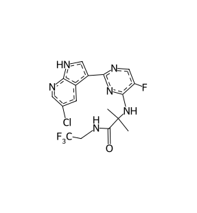 CC(C)(Nc1nc(-c2c[nH]c3ncc(Cl)cc23)ncc1F)C(=O)NCC(F)(F)F